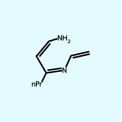 C=C/N=C(\C=C/N)CCC